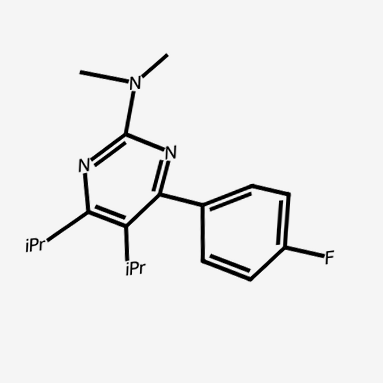 CC(C)c1nc(N(C)C)nc(-c2ccc(F)cc2)c1C(C)C